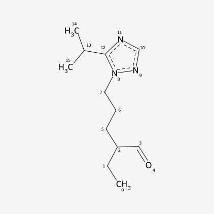 CCC(C=O)CCCn1ncnc1C(C)C